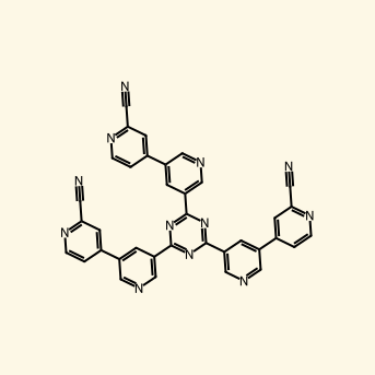 N#Cc1cc(-c2cncc(-c3nc(-c4cncc(-c5ccnc(C#N)c5)c4)nc(-c4cncc(-c5ccnc(C#N)c5)c4)n3)c2)ccn1